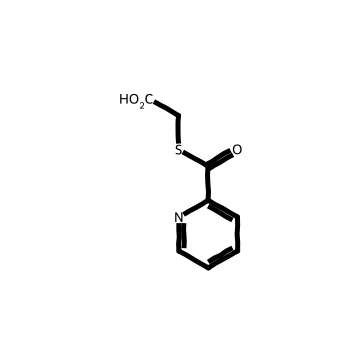 O=C(O)CSC(=O)c1ccccn1